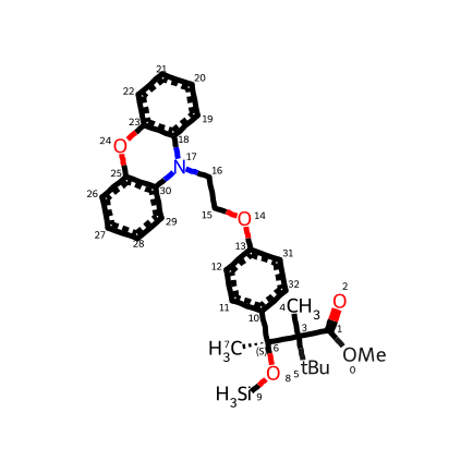 COC(=O)C(C)(C(C)(C)C)[C@@](C)(O[SiH3])c1ccc(OCCN2c3ccccc3Oc3ccccc32)cc1